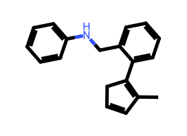 CC1=C(c2ccccc2CNc2ccccc2)CC=C1